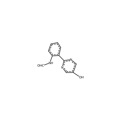 O=CNc1ccccc1-c1ncc(O)cn1